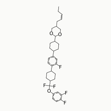 CC/C=C\CC1COC(C2CCC(c3ccc(C4CCC(C(F)(F)Oc5ccc(F)c(F)c5)CC4)c(F)c3)CC2)OC1